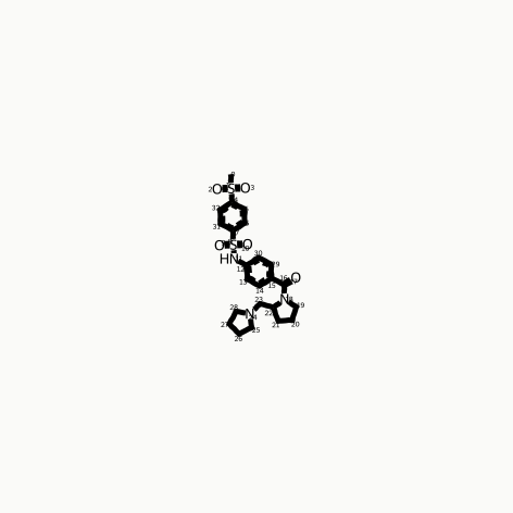 CS(=O)(=O)c1ccc(S(=O)(=O)Nc2ccc(C(=O)N3CCCC3CN3CCCC3)cc2)cc1